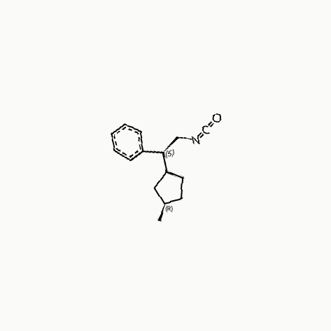 C[C@@H]1CCC([C@H](CN=C=O)c2ccccc2)C1